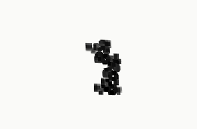 CC(C(=O)O)[C@@H]1COc2cc(N(C(=O)C(F)(F)F)[C@@H]3COc4c(Nc5c(N)ccc(F)c5F)cccc43)ccc21